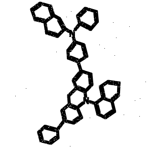 c1ccc(-c2ccc3c(c2)Cc2cc(-c4ccc(N(c5ccccc5)c5ccc6ccccc6c5)cc4)ccc2N3c2cccc3ccccc23)cc1